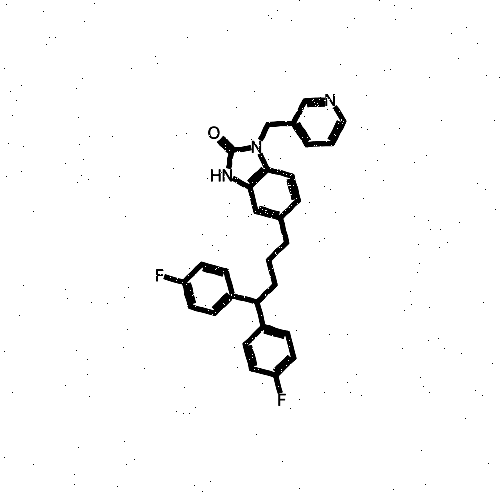 O=c1[nH]c2cc(CCCC(c3ccc(F)cc3)c3ccc(F)cc3)ccc2n1Cc1cccnc1